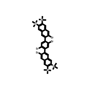 C[Si](C)(C)c1cc2cc(Br)c(-c3cc(Br)c(-c4cc5cc([Si](C)(C)C)c([Si](C)(C)C)cc5cc4Br)cc3Br)cc2cc1[Si](C)(C)C